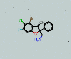 C=C1c2c(cc(F)c(Cl)c2Br)OC1(CN)c1ccccc1